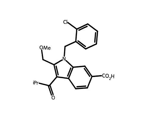 COCc1c(C(=O)C(C)C)c2ccc(C(=O)O)cc2n1Cc1ccccc1Cl